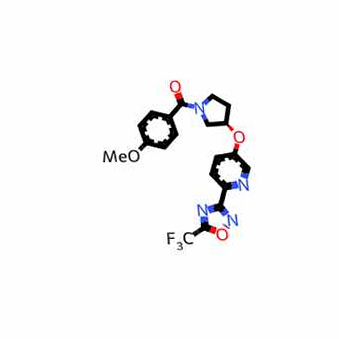 COc1ccc(C(=O)N2CC[C@@H](Oc3ccc(-c4noc(C(F)(F)F)n4)nc3)C2)cc1